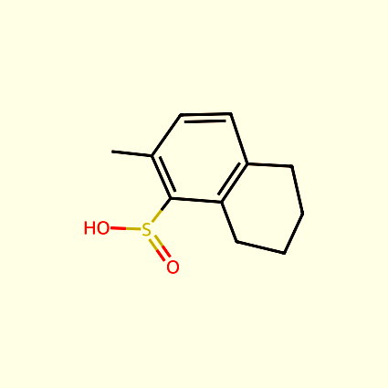 Cc1ccc2c(c1S(=O)O)CCCC2